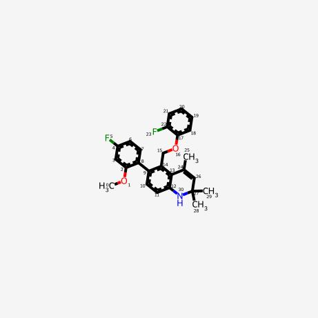 COc1cc(F)ccc1-c1ccc2c(c1COc1ccccc1F)C(C)=CC(C)(C)N2